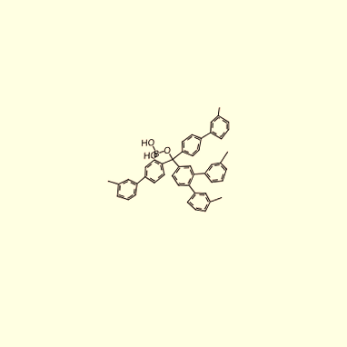 Cc1cccc(-c2ccc(C(OB(O)O)(c3ccc(-c4cccc(C)c4)cc3)c3ccc(-c4cccc(C)c4)c(-c4cccc(C)c4)c3)cc2)c1